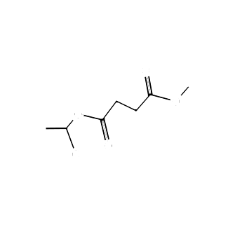 COC(=O)CCC(=O)OC(C)O